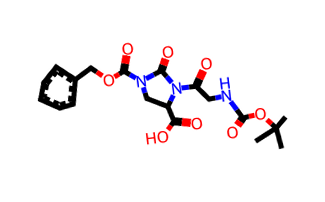 CC(C)(C)OC(=O)NCC(=O)N1C(=O)N(C(=O)OCc2ccccc2)CC1C(=O)O